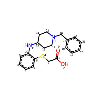 O=C(O)CSc1ccccc1NC1CCN(Cc2ccccc2)CC1